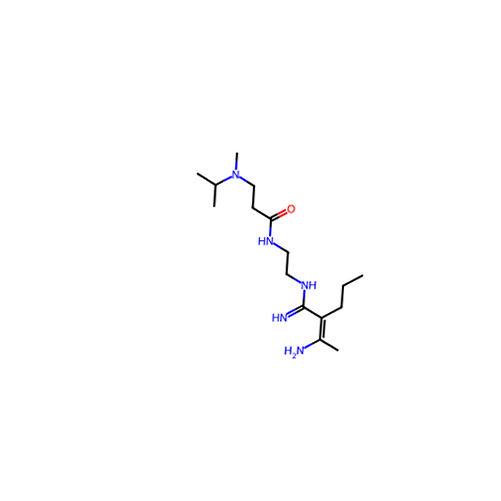 CCC/C(C(=N)NCCNC(=O)CCN(C)C(C)C)=C(\C)N